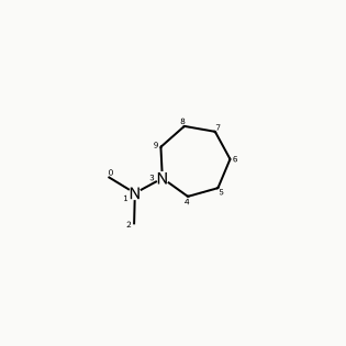 CN(C)N1CCCCCC1